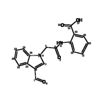 O=Cc1cn(CC(=O)Nc2ccccc2C(=O)O)c2ccccc12